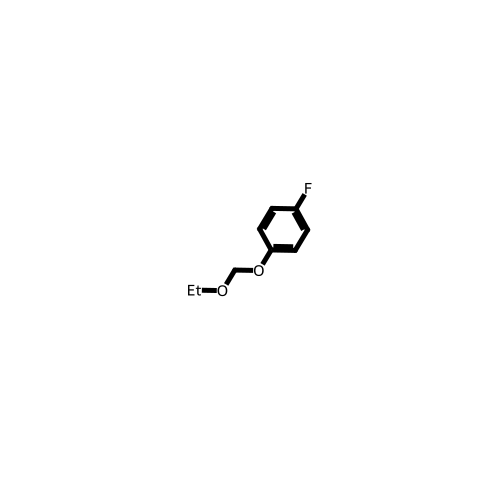 CCOCOc1ccc(F)cc1